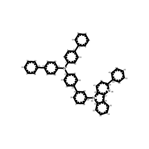 c1ccc(-c2ccc(N(c3ccc(-c4ccccc4)cc3)c3ccc(-c4cccc(-n5c6ccccc6c6nc(-c7ccccc7)ccc65)c4)cc3)cc2)cc1